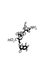 Nc1nc(C(=NOCF)C(=O)NC2C(=O)N3C(C(=O)O)=C(C=CSc4cc(=O)c5cc(F)c(F)c(F)c5s4)CS[C@@H]23)cs1